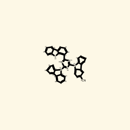 N#Cc1ccc2c(c1)c1ccccc1n2-c1nc(-c2cccc3c2sc2ccccc23)nc(-n2c3ccccc3c3ccccc32)n1